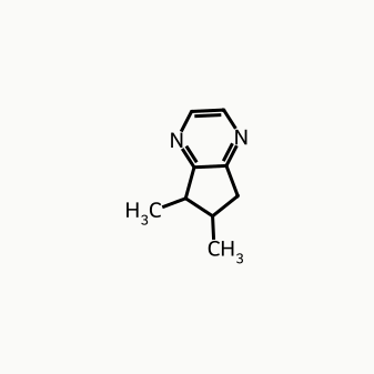 CC1Cc2nccnc2C1C